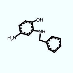 Nc1ccc(O)c(NCc2ccccc2)c1